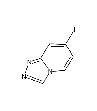 Ic1ccn2cnnc2c1